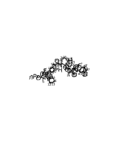 CCCOC(=O)[C@H](C)NP(=O)(Oc1ccccc1)C(F)c1ccc2sc(C(=O)N[C@H]3CCCC[C@H]4CC[C@@H](C(=O)N5C(=O)N(c6cc(=O)n(C)cc6F)C(=O)C56CC6)N4C3=O)cc2c1